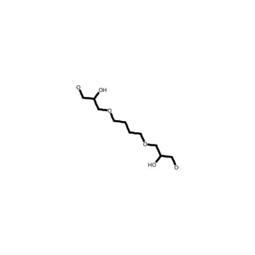 [O]CC(O)COCCCCOCC(O)C[O]